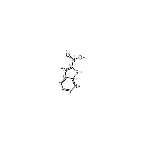 O=[N+]([O-])c1nc2cccnc2s1